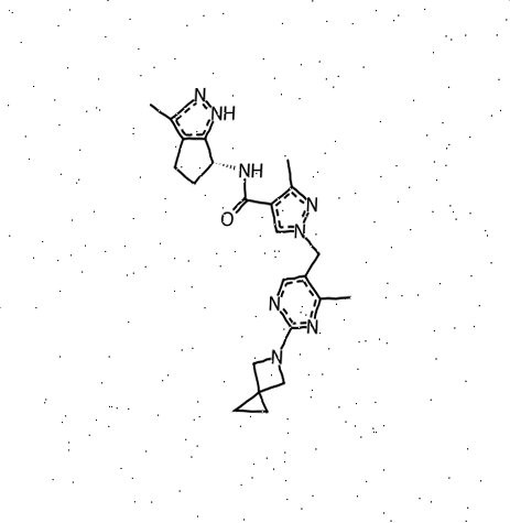 Cc1nc(N2CC3(CC3)C2)ncc1Cn1cc(C(=O)N[C@@H]2CCc3c(C)n[nH]c32)c(C)n1